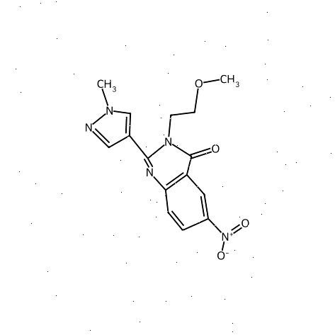 COCCn1c(-c2cnn(C)c2)nc2ccc([N+](=O)[O-])cc2c1=O